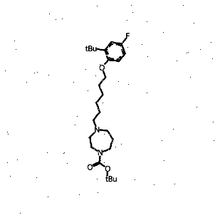 CC(C)(C)OC(=O)N1CCCN(CCCCCCOc2ccc(F)cc2C(C)(C)C)CC1